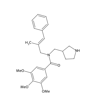 COc1cc(C(=O)N(CC(C)=Cc2ccccc2)CC2CCNC2)cc(OC)c1OC